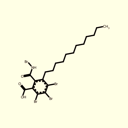 CCCCCCCCCCCCc1c(Br)c(Br)c(Br)c(C(=O)O)c1C(=O)NBr